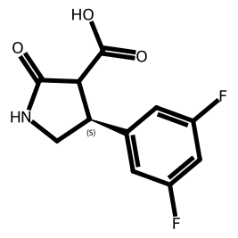 O=C(O)C1C(=O)NC[C@@H]1c1cc(F)cc(F)c1